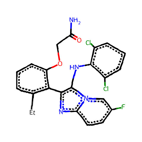 CCc1cccc(OCC(N)=O)c1-c1nc2ccc(F)cn2c1Nc1c(Cl)cccc1Cl